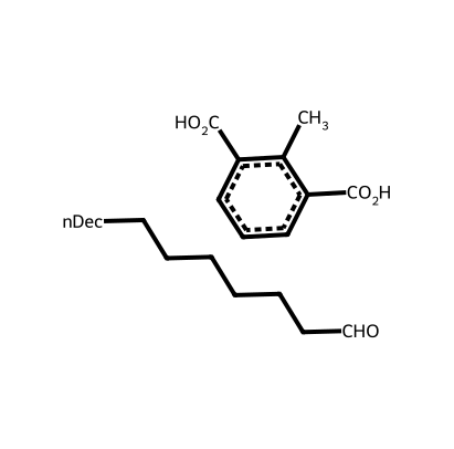 CCCCCCCCCCCCCCCCC=O.Cc1c(C(=O)O)cccc1C(=O)O